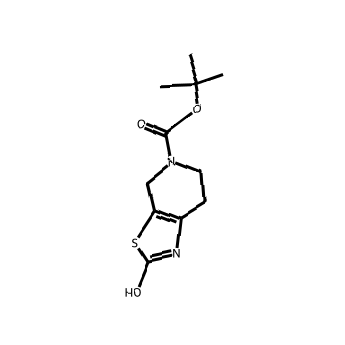 CC(C)(C)OC(=O)N1CCc2nc(O)sc2C1